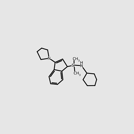 C[Si](C)(NC1CCCCC1)C1C=C(N2CCCC2)c2ccccc21